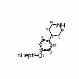 CCCCCCCOc1ccc(C2CCNCC2)cc1